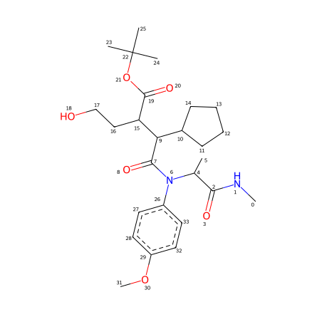 CNC(=O)C(C)N(C(=O)C(C1CCCC1)C(CCO)C(=O)OC(C)(C)C)c1ccc(OC)cc1